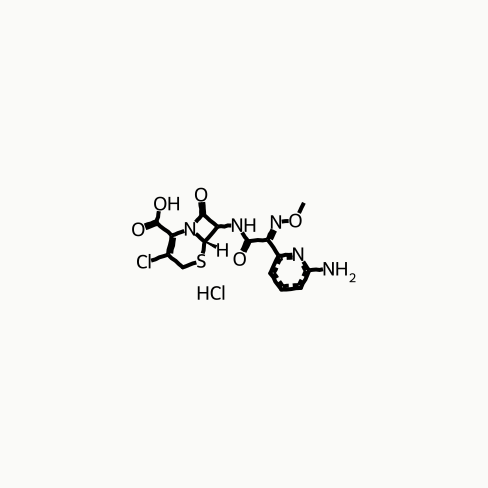 CON=C(C(=O)NC1C(=O)N2C(C(=O)O)=C(Cl)CS[C@@H]12)c1cccc(N)n1.Cl